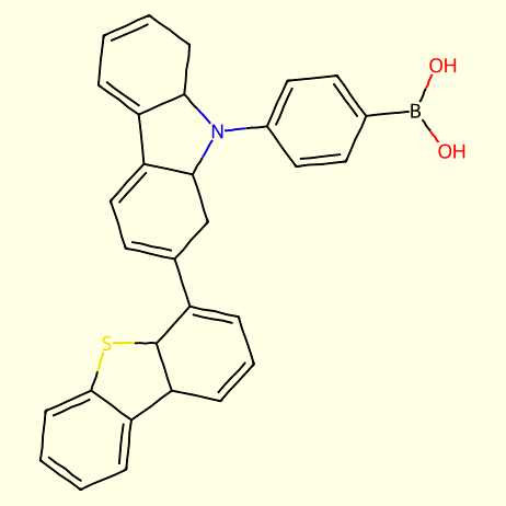 OB(O)c1ccc(N2C3CC=CC=C3C3=CC=C(C4=CC=CC5c6ccccc6SC45)CC32)cc1